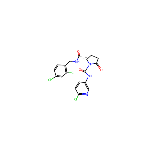 O=C(NCc1ccc(Cl)cc1Cl)[C@@H]1CCC(=O)N1C(=O)Nc1ccc(Cl)nc1